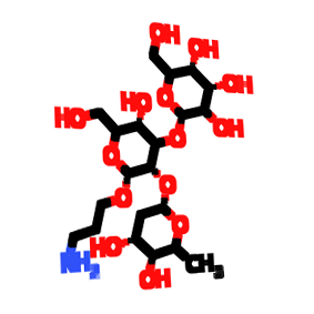 CC1O[C@@H](O[C@H]2C(O[C@H]3OC(CO)[C@H](O)[C@H](O)C3O)[C@@H](O)C(CO)O[C@H]2OCCCN)C[C@@H](O)[C@@H]1O